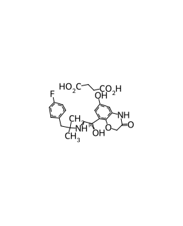 CC(C)(Cc1ccc(F)cc1)NC[C@H](O)c1cc(O)cc2c1OCC(=O)N2.O=C(O)CCC(=O)O